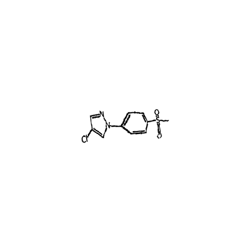 CS(=O)(=O)c1ccc(-n2cc(Cl)cn2)cc1